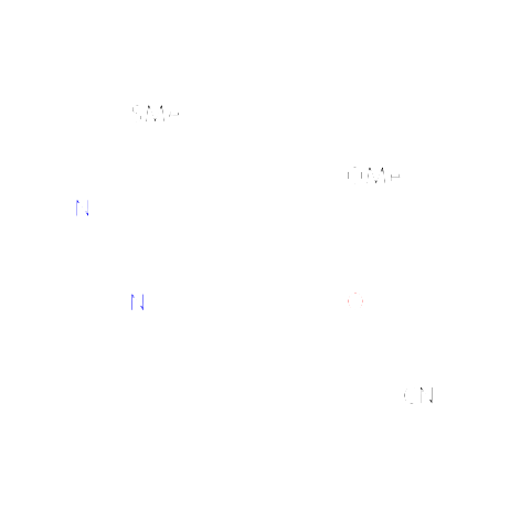 COc1cc2c(SC)ncnc2cc1OCC#N